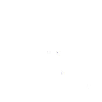 Brc1cnc2c(c1)CCN2OOSc1ccccc1